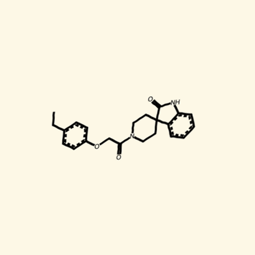 CCc1ccc(OCC(=O)N2CCC3(CC2)C(=O)Nc2ccccc23)cc1